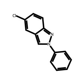 Clc1ccc2nn(-c3ccccc3)cc2c1